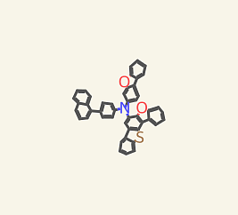 c1ccc2c(-c3ccc(N(c4ccc5c(c4)oc4ccccc45)c4cc5c6ccccc6sc5c5c4oc4ccccc45)cc3)cccc2c1